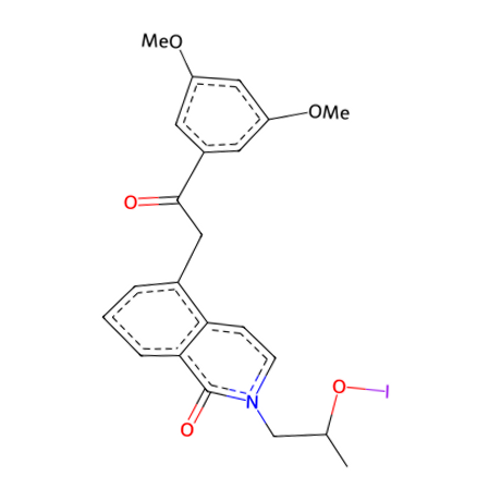 COc1cc(OC)cc(C(=O)Cc2cccc3c(=O)n(CC(C)OI)ccc23)c1